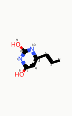 CC=Cc1cc(O)nc(O)n1